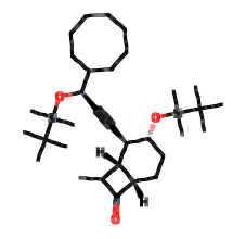 CC1C(=O)[C@H]2CC[C@@H](O[Si](C)(C)C(C)(C)C)[C@H](C#C[C@@H](O[Si](C)(C)C(C)(C)C)C3CCCCCCC3)[C@@H]12